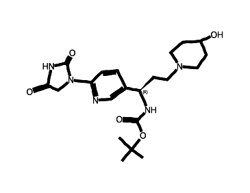 CC(C)(C)OC(=O)N[C@H](CCN1CCC(O)CC1)c1ccc(N2CC(=O)NC2=O)nc1